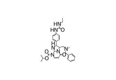 CCNC(=O)Nc1ccc(C2NC3N(C(=O)OC(C)C)C=CC(=O)N3C2CN(C)Cc2ccccc2)cc1